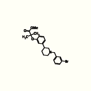 COC(=O)C(C)(C)Oc1cccc(C2CCCN(Cc3cccc(Br)c3)C2)c1